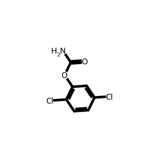 NC(=O)Oc1cc(Cl)ccc1Cl